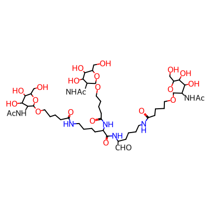 CC(=O)NC1C(OCCCCC(=O)NCCCCC(C=O)NC(=O)C(CCCCNC(=O)CCCCOC2OC(CO)C(O)C(O)C2NC(C)=O)NC(=O)CCCCOC2OC(CO)C(O)C(O)C2NC(C)=O)OC(CO)C(O)C1O